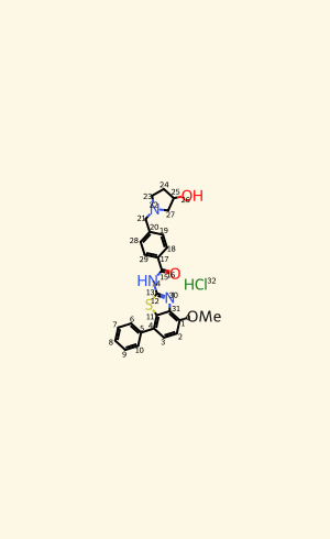 COc1ccc(-c2ccccc2)c2sc(NC(=O)c3ccc(CN4CCC(O)C4)cc3)nc12.Cl